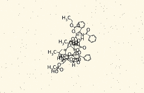 CCOC(=O)O[C@@H](C(=O)O[C@@H]1C(C)=C2[C@@H](CC(C)=O)C(=O)[C@]3(C)[C@@H](OCOP(C)(=O)O)C[C@H]4OO[C@@]4(OC(C)=O)[C@H]3[C@H](OC(=O)c3ccccc3)[C@@]3(OC(=O)O[C@@H]13)C2(C)C)[C@@H](NC(=O)c1ccccc1)c1ccccc1